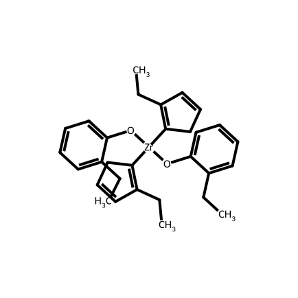 CCC1=[C]([Zr]([O]c2ccccc2CC)([O]c2ccccc2CC)[C]2=C(CC)C=CC2)CC=C1